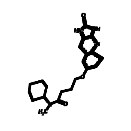 CN(C(=O)CCCOc1ccc2nc3[nH]c(=O)[nH]c3cc2c1)C1CCCCC1